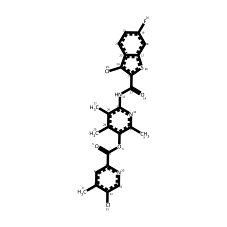 Cc1cc(C(=O)Oc2c(C)nc(NC(=O)c3sc4cc(F)ccc4c3Cl)c(C)c2C)ncc1Cl